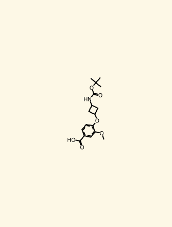 COc1cc(C(=O)O)ccc1OC1CC(NC(=O)OC(C)(C)C)C1